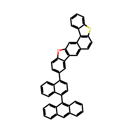 c1ccc2c(-c3ccc(-c4ccc5oc6cc7c(ccc8sc9ccccc9c87)cc6c5c4)c4ccccc34)c3ccccc3cc2c1